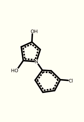 Oc1cc(O)n(-c2cccc(Cl)c2)c1